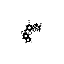 N#Cc1cc(F)cc(OS(=O)(=O)C(F)(F)F)c1Oc1cccc2c1CCC2